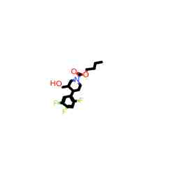 CCCCOC(=O)N1CCC(c2cc(F)c(F)cc2F)C(CO)C1